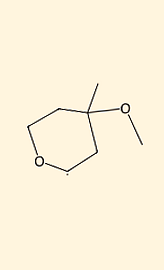 COC1(C)C[CH]OCC1